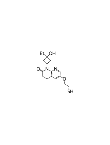 CCC1(O)CC(N2C(=O)CCc3cc(OCCS)cnc32)C1